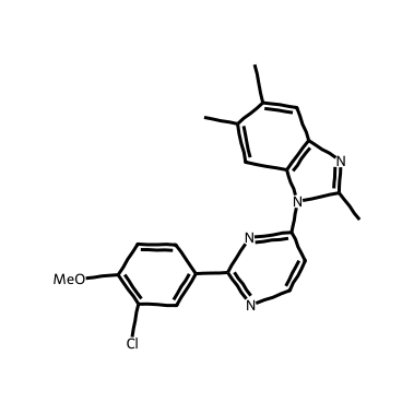 COc1ccc(-c2nccc(-n3c(C)nc4cc(C)c(C)cc43)n2)cc1Cl